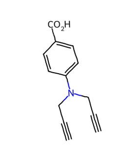 C#CCN(CC#C)c1ccc(C(=O)O)cc1